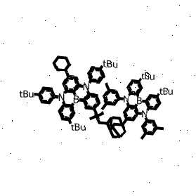 Cc1cc(C)cc(N2c3ccc(C(C)(C)C)cc3B3c4cc(C(C)(C)C)ccc4N(c4cc(C)cc(C)c4)c4cc(C56CC7CC(C5)C(CC(C)(C)c5ccc8c(c5)B5c9cc(C(C)(C)C)ccc9N(c9ccc(C(C)(C)C)cc9)c9cc(C%10CCCCC%10)cc(c95)N8c5ccc(C(C)(C)C)cc5)C(C7)C6)cc2c43)c1